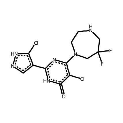 O=c1[nH]c(-c2cn[nH]c2Cl)nc(N2CCNCC(F)(F)C2)c1Cl